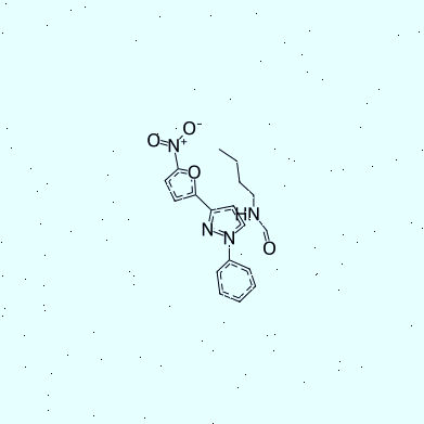 CCCCNC=O.O=[N+]([O-])c1ccc(-c2ccn(-c3ccccc3)n2)o1